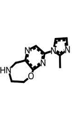 Cc1nccn1-c1cnc2c(n1)OCCNC2